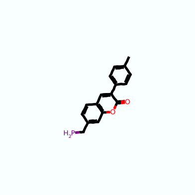 Cc1ccc(-c2cc3ccc(CP)cc3oc2=O)cc1